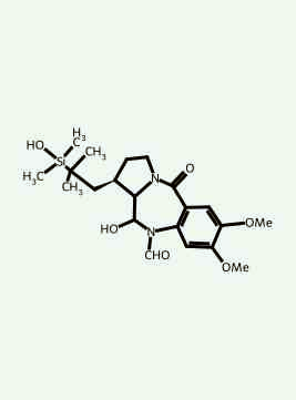 COc1cc2c(cc1OC)N(C=O)C(O)C1[C@@H](CC(C)(C)[Si](C)(C)O)CCN1C2=O